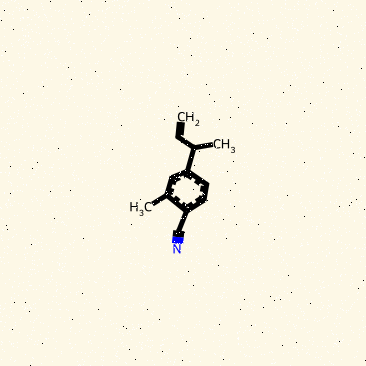 C=C[C](C)c1ccc(C#N)c(C)c1